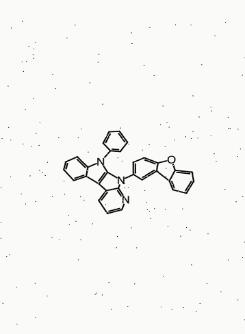 c1ccc(-n2c3ccccc3c3c4cccnc4n(-c4ccc5oc6ccccc6c5c4)c32)cc1